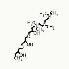 CCC(O)COCC(O)COCC(O)C[N+](C)(C)CCN(C)CCN(C)C